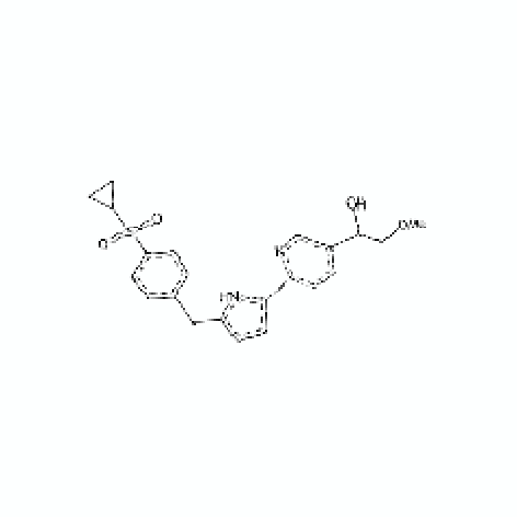 COCC(O)c1ccc(-c2ccc(Cc3ccc(S(=O)(=O)C4CC4)cc3)[nH]2)nc1